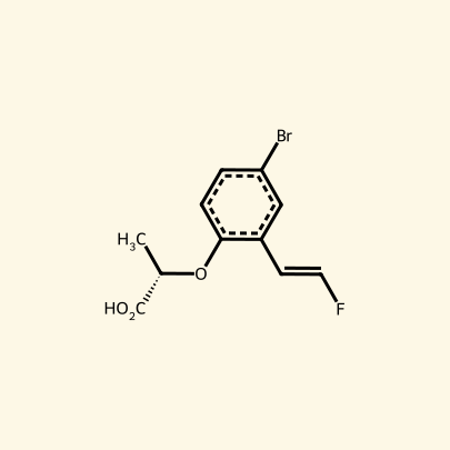 C[C@H](Oc1ccc(Br)cc1/C=C/F)C(=O)O